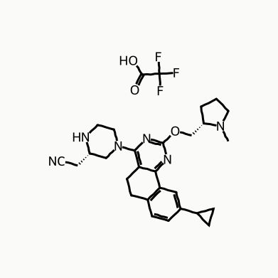 CN1CCC[C@H]1COc1nc2c(c(N3CCN[C@@H](CC#N)C3)n1)CCc1ccc(C3CC3)cc1-2.O=C(O)C(F)(F)F